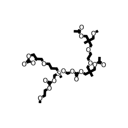 COCCOC(=O)OC[Si](C)(CCCOCC1COC(=O)O1)OCOC(=O)OCC(C)(COCCOCC(C)(COC)COC(C)=O)COC(C)=O